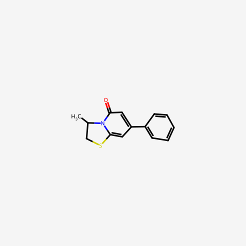 CC1CSc2cc(-c3ccccc3)cc(=O)n21